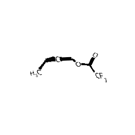 CC=C=COC(=O)C(F)(F)F